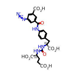 [N-]=[N+]=Nc1cc(C(=O)O)cc(C(=O)Nc2ccc(C[C@H](NC(=O)N[C@@H](CCC(=O)O)C(=O)O)C(=O)O)cc2)c1